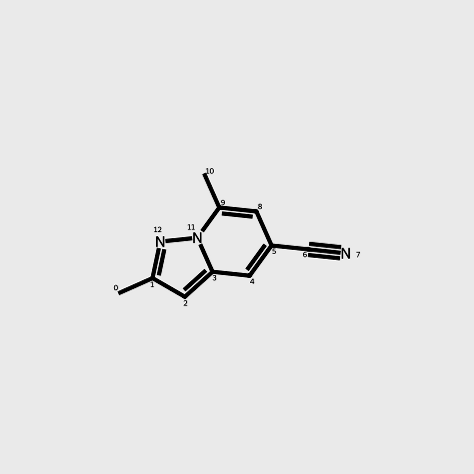 Cc1cc2cc(C#N)cc(C)n2n1